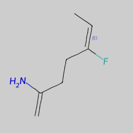 C=C(N)CC/C(F)=C\C